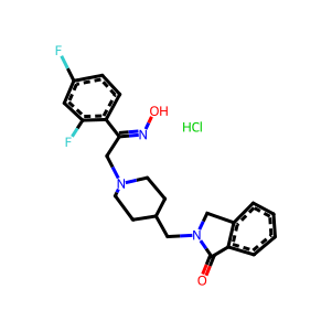 Cl.O=C1c2ccccc2CN1CC1CCN(CC(=NO)c2ccc(F)cc2F)CC1